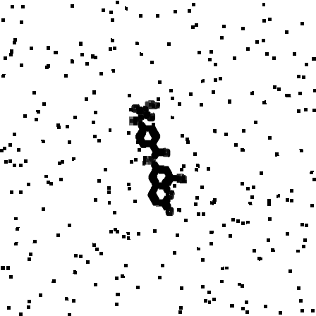 CCc1cc(NC(=O)c2ccc(NS(=O)(=O)C(C)(C)C)cc2)cc2ccc(=O)oc12